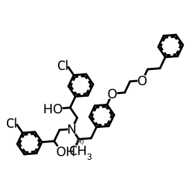 C[C@H](Cc1ccc(OCCOCCc2ccccc2)cc1)N(CC(O)c1cccc(Cl)c1)CC(O)c1cccc(Cl)c1